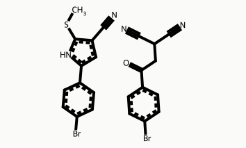 CSc1[nH]c(-c2ccc(Br)cc2)cc1C#N.N#CC(C#N)CC(=O)c1ccc(Br)cc1